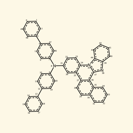 c1ccc(-c2ccc(N(c3ccc(-c4ccccc4)cc3)c3ccc4c(c3)c3ccc5ccccc5c3c3nc5ccccc5n43)cc2)cc1